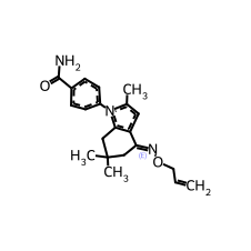 C=CCO/N=C1\CC(C)(C)Cc2c1cc(C)n2-c1ccc(C(N)=O)cc1